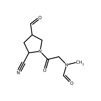 CN(C=O)CC(=O)N1CC(C=O)CC1C#N